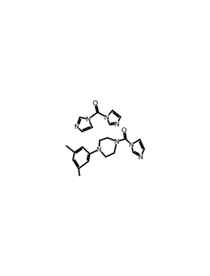 Cc1cc(C)cc(N2CCN(C(=O)n3ccnc3)CC2)c1.O=C(n1ccnc1)n1ccnc1